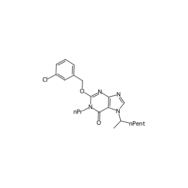 CCCCCC(C)n1cnc2nc(OCc3cccc(Cl)c3)n(CCC)c(=O)c21